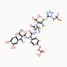 Cc1oc2cc(O)c(O)cc2c(=O)c1C(=O)NC(C(=O)N[C@@H]1C(=O)N2C(C(=O)O)=C(CSc3nnnn3CC(=O)O)CS[C@H]12)c1ccc(OCC(=O)O)cc1